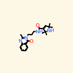 Cc1nc2ccccc2c(=O)n1CCCNC(=O)C1=CC(C)(C)NC1(C)C